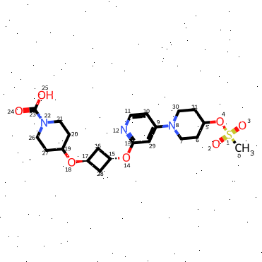 CS(=O)(=O)OC1CCN(c2ccnc(O[C@H]3C[C@H](OC4CCN(C(=O)O)CC4)C3)c2)CC1